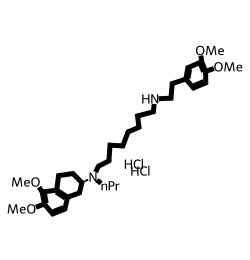 CCCN(CCCCCCCCNCCc1ccc(OC)c(OC)c1)[C@H]1CCc2c(ccc(OC)c2OC)C1.Cl.Cl